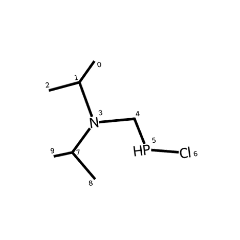 CC(C)N(CPCl)C(C)C